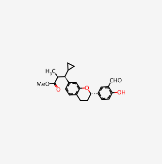 COC(=O)[C@@H](C)[C@H](c1ccc2c(c1)O[C@H](c1ccc(O)c(C=O)c1)CC2)C1CC1